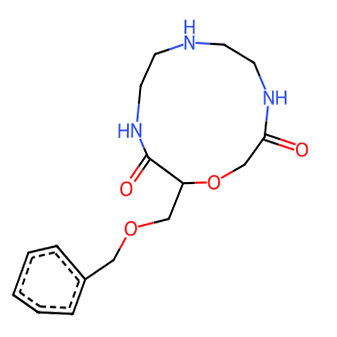 O=C1COC(COCc2ccccc2)C(=O)NCCNCCN1